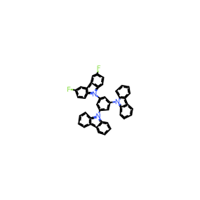 Fc1ccc2c(c1)c1cc(F)ccc1n2-c1cc(-n2c3ccccc3c3ccccc32)cc(-n2c3ccccc3c3ccccc32)c1